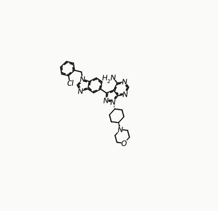 Nc1ncnc2c1c(-c1ccc3c(c1)ncn3Cc1ccccc1Cl)nn2[C@H]1CC[C@H](N2CCOCC2)CC1